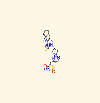 O=C1NC(=O)/C(=C/c2ccnc(N3CCC(CNCc4cc5ccccc5nc4-c4ccsc4)CC3)n2)S1